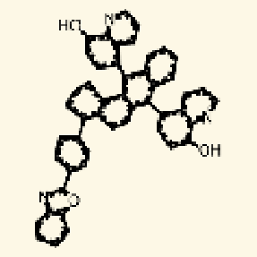 Oc1ccc(-c2c3ccccc3c(-c3ccc(O)c4ncccc34)c3c2ccc2c(-c4ccc(-c5nc6ccccc6o5)cc4)cccc23)c2cccnc12